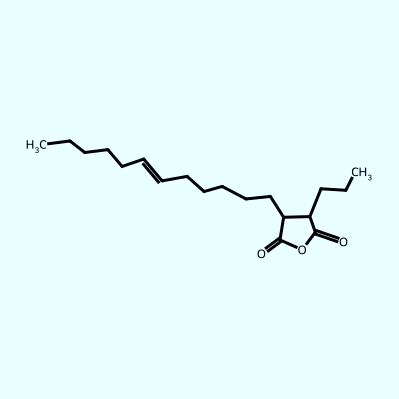 CCCCCC=CCCCCCC1C(=O)OC(=O)C1CCC